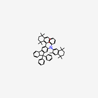 Cc1cc2c(cc1N(c1ccccc1)c1cc3c(cc1-c1cccc4c1C(C)(C)CCC4(C)C)C1C=CC=CC1C3(c1ccccc1)c1ccccc1)C(C)(C)CCC2(C)C